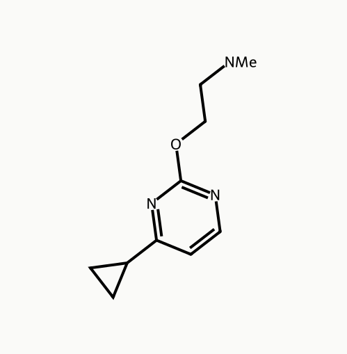 CNCCOc1nccc(C2CC2)n1